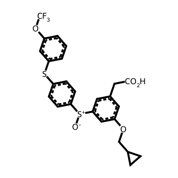 O=C(O)Cc1cc(OCC2CC2)cc([S+]([O-])c2ccc(Sc3cccc(OC(F)(F)F)c3)cc2)c1